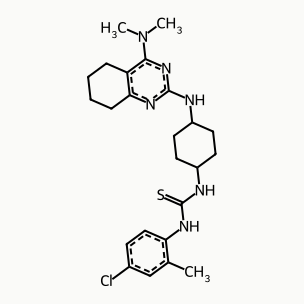 Cc1cc(Cl)ccc1NC(=S)NC1CCC(Nc2nc3c(c(N(C)C)n2)CCCC3)CC1